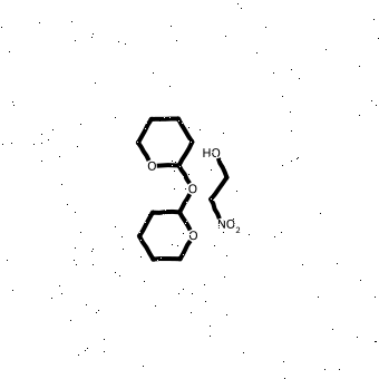 C1CCC(OC2CCCCO2)OC1.O=[N+]([O-])CCO